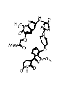 CNC(=O)COc1cc2cc(Nc3nc(N4CCC(Oc5cccc6c(C7CCC(=O)NC7=O)nn(C)c56)CC4)ncc3Cl)cnc2n(C)c1=O